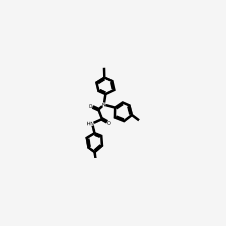 Cc1ccc(NC(=O)C(=O)N(c2ccc(C)cc2)c2ccc(C)cc2)cc1